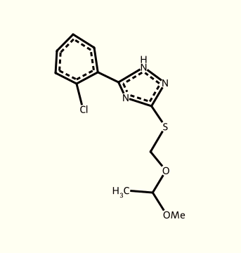 COC(C)OCSc1n[nH]c(-c2ccccc2Cl)n1